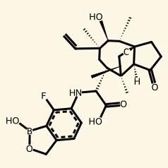 C=C[C@]1(C)C[C@@H](C(Nc2ccc3c(c2F)B(O)OC3)C(=O)O)[C@@]2(C)[C@H](C)CC[C@]3(CCC(=O)[C@H]32)[C@@H](C)[C@@H]1O